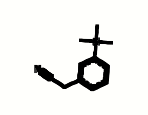 C[Si](C)(C)c1cccc(CC#N)c1